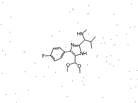 CNC(c1nc(-c2ccc(F)cc2)c(C(OC)OC)[nH]1)C(C)C